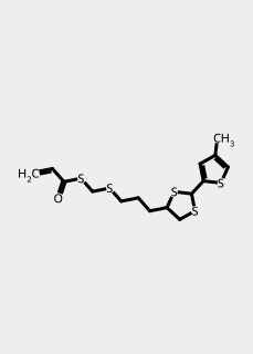 C=CC(=O)SCSCCCC1CSC(c2cc(C)cs2)S1